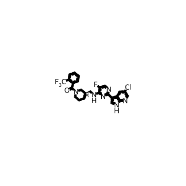 O=C(c1ccccc1C(F)(F)F)N1CCC[C@H](CNc2nc(-c3c[nH]c4ncc(Cl)cc34)ncc2F)C1